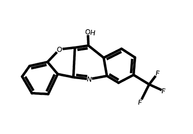 Oc1c2ccc(C(F)(F)F)cc2nc2c1oc1ccccc12